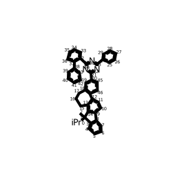 CC(C)C1(C)c2ccccc2-c2ccc3c(c21)CCCc1cc(-c2nc(-c4ccccc4)nc(-c4ccccc4-c4ccccc4)n2)ccc1-3